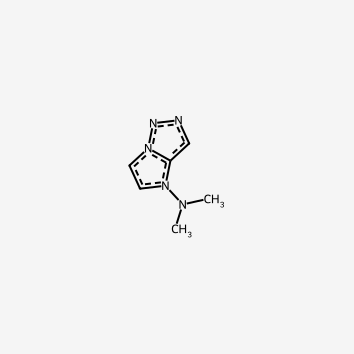 CN(C)n1ccn2nncc12